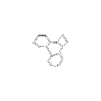 C1=Cc2c1c1ccccc1c1ccccc21